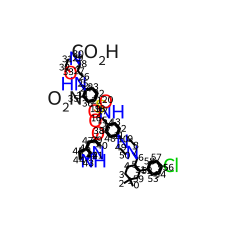 CC1(C)CCC(CN2CCN(c3ccc(C(=O)NS(=O)(=O)c4ccc(NCC5CN(C(=O)O)CCO5)c([N+](=O)[O-])c4)c(Oc4cnc5[nH]ccc5c4)c3)CC2)=C(c2ccc(Cl)cc2)C1